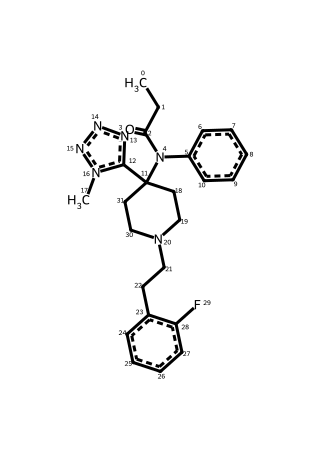 CCC(=O)N(c1ccccc1)C1(c2nnnn2C)CCN(CCc2ccccc2F)CC1